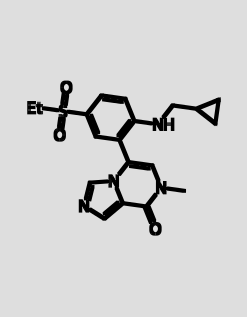 CCS(=O)(=O)c1ccc(NCC2CC2)c(-c2cn(C)c(=O)c3cncn23)c1